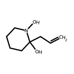 C=CCC1(O)CCCCN1O